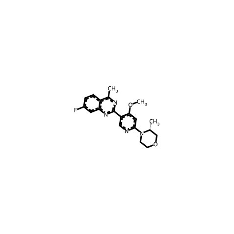 COc1cc(N2CCOC[C@H]2C)ncc1-c1nc(C)c2ccc(F)cc2n1